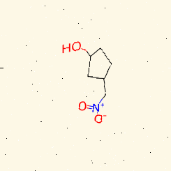 O=[N+]([O-])CC1CCC(O)C1